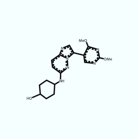 COc1ncc(-c2cnc3ccc(NC4CCC(O)CC4)nn23)c(OC)n1